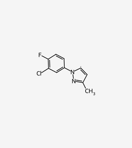 Cc1c[c]n(-c2ccc(F)c(Cl)c2)n1